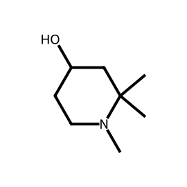 CN1CCC(O)CC1(C)C